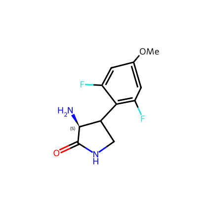 COc1cc(F)c(C2CNC(=O)[C@H]2N)c(F)c1